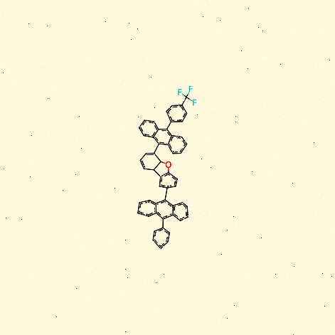 FC(F)(F)c1ccc(-c2c3ccccc3c(C3=CC=CC4c5cc(-c6c7ccccc7c(-c7ccccc7)c7ccccc67)ccc5OC34)c3ccccc23)cc1